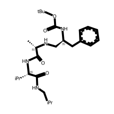 CC(C)CNC(=O)[C@@H](NC(=O)[C@H](C)NC[C@H](Cc1ccccc1)NC(=O)OC(C)(C)C)C(C)C